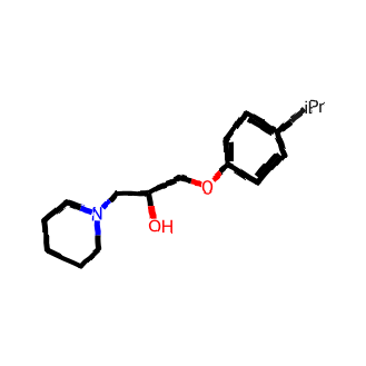 CC(C)c1ccc(OCC(O)CN2CCCCC2)cc1